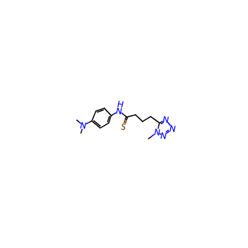 CN(C)c1ccc(NC(=S)CCCc2nnnn2C)cc1